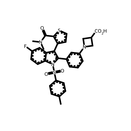 Cc1ccc(S(=O)(=O)n2c(-c3cccc(N4CC(C(=O)O)C4)c3)c(-c3ccsc3C(=O)N(C)C)c3cc(F)ccc32)cc1